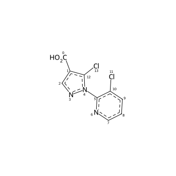 O=C(O)c1cnn(-c2ncccc2Cl)c1Cl